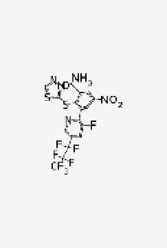 NC(=O)c1cc([N+](=O)[O-])cc(-c2ncc(C(F)(F)C(F)(F)C(F)(F)F)cc2F)c1Sc1nncs1